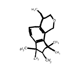 CC1COCc2c1ccc1c2C(C)(C)C(C)C1(C)C